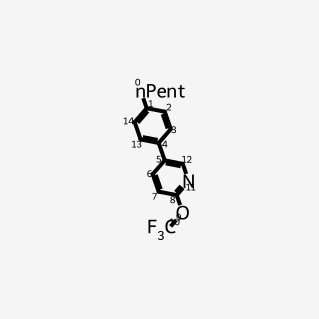 CCCCCc1ccc(-c2ccc(OC(F)(F)F)nc2)cc1